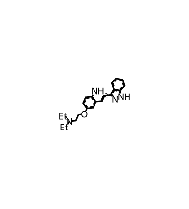 CCN(CC)CCOc1ccc(N)c(C=Cc2n[nH]c3ccccc23)c1